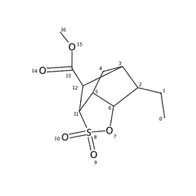 CCC1C2CC3C1OS(=O)(=O)C3C2C(=O)OC